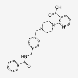 O=C(NCc1ccc(CN2CCN(c3ncccc3C(=O)O)CC2)cc1)c1ccccc1